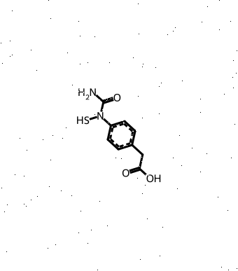 NC(=O)N(S)c1ccc(CC(=O)O)cc1